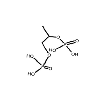 CC(COP(=O)(O)O)OP(=O)(O)O